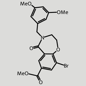 COC(=O)c1cc(Br)c2c(c1)C(=O)N(Cc1cc(OC)cc(OC)c1)CCO2